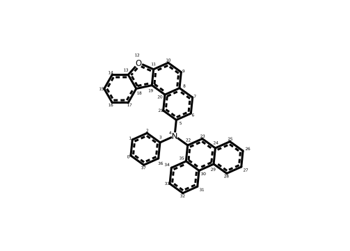 c1ccc(N(c2ccc3ccc4oc5ccccc5c4c3c2)c2cc3ccccc3c3ccccc23)cc1